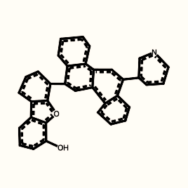 Oc1cccc2c1oc1c(-c3cc4c5ccccc5c(-c5cccnc5)cc4c4ccccc34)cccc12